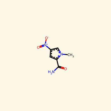 Cn1cc([N+](=O)[O-])cc1C(N)=O